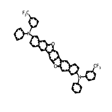 FC(F)(F)c1cccc(N(c2ccccc2)c2ccc3cc4c(cc3c2)oc2cc3c(cc24)oc2cc4cc(N(c5ccccc5)c5cccc(C(F)(F)F)c5)ccc4cc23)c1